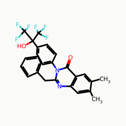 Cc1cc2nc(Cc3ccccc3)n(-c3ccc(C(O)(C(F)(F)F)C(F)(F)F)cc3)c(=O)c2cc1C